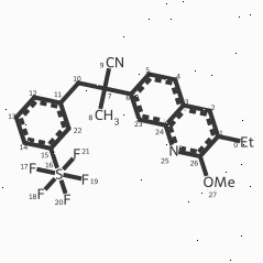 CCc1cc2ccc(C(C)(C#N)Cc3cccc(S(F)(F)(F)(F)F)c3)cc2nc1OC